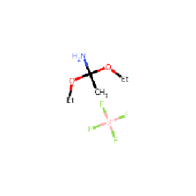 CCOC(C)(N)OCC.F[B-](F)(F)F